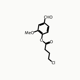 COc1cc(C=O)ccc1OC(=O)CCCCl